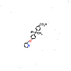 CC(C)C(C)(c1ccc(OCc2ccccn2)cc1)c1ccc(C(=O)O)cc1